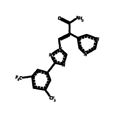 NC(=O)C(=Cn1cnc(-c2cc(C(F)(F)F)cc(C(F)(F)F)c2)n1)c1cncnc1